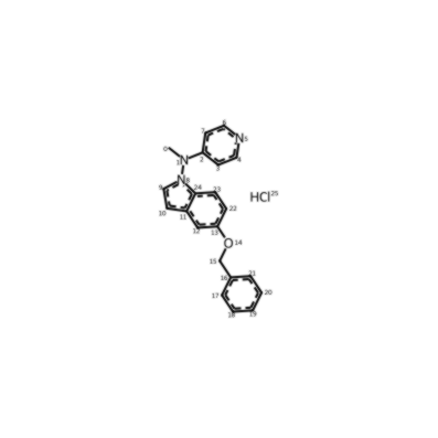 CN(c1ccncc1)n1ccc2cc(OCc3ccccc3)ccc21.Cl